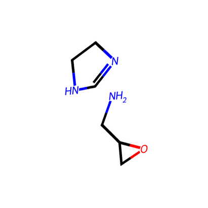 C1=NCCN1.NCC1CO1